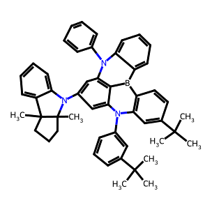 CC(C)(C)c1cccc(N2c3cc(C(C)(C)C)ccc3B3c4ccccc4N(c4ccccc4)c4cc(N5c6ccccc6C6(C)CCCC56C)cc2c43)c1